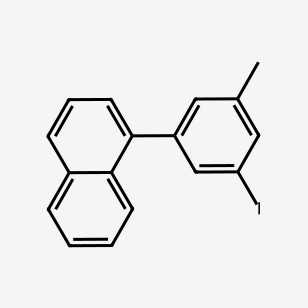 Cc1cc(I)cc(-c2cccc3ccccc23)c1